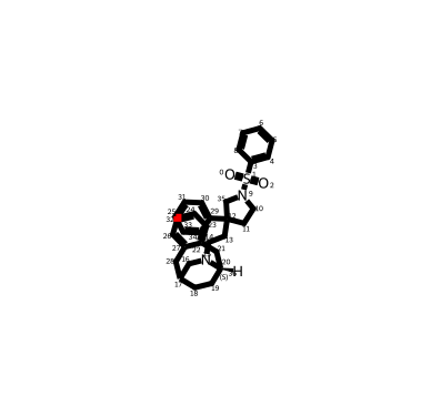 O=S(=O)(c1ccccc1)N1CCC(CCN2CC3CC[C@H]2Cc2ccccc2C3)(c2ccccc2)C1